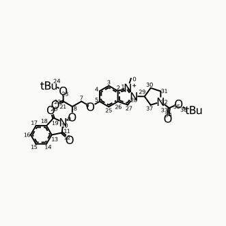 C[n+]1c2ccc(OCC(ON3C(=O)c4ccccc4C3=O)C(=O)OC(C)(C)C)cc2cn1C1CCN(C(=O)OC(C)(C)C)C1